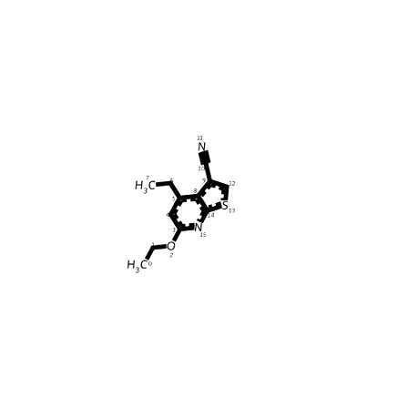 CCOc1cc(CC)c2c(C#N)csc2n1